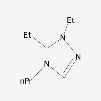 CCCN1C=NN(CC)C1CC